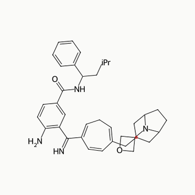 CC(C)CC(NC(=O)c1ccc(N)c(C(=N)C2=CCC=C(CC3CC4CCC(C3)N4C3COC3)C=C2)c1)c1ccccc1